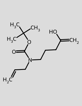 C=CCN(CCCC(=C)O)C(=O)OC(C)(C)C